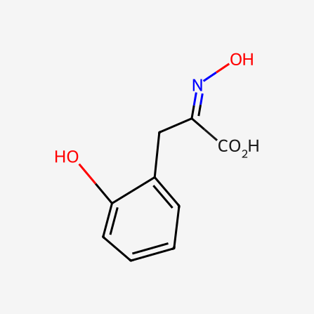 O=C(O)/C(Cc1ccccc1O)=N\O